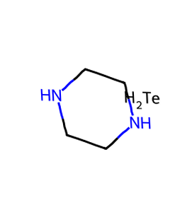 C1CNCCN1.[TeH2]